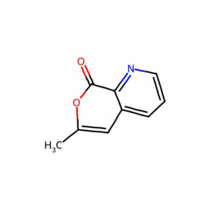 Cc1cc2cccnc2c(=O)o1